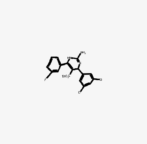 CCOC(=O)C1=C(c2cccc(F)c2)NC(N)=NC1c1cc(Cl)cc(Cl)c1